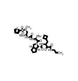 C=CCNC(=O)C(=O)C(CC1CCC1)NC(=O)[C@@H]1[C@H]2CCC[C@H]2CN1C(=O)[C@@H](NC(=O)N[C@H](CN(C)S(=O)(=O)c1cccs1)C(C)(C)C)C(C)(C)C